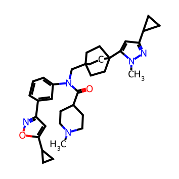 CN1CCC(C(=O)N(CC23CCC(c4cc(C5CC5)nn4C)(CC2)CC3)c2cccc(-c3cc(C4CC4)on3)c2)CC1